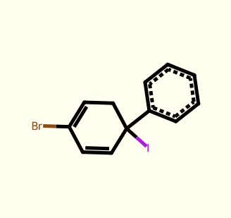 BrC1=CCC(I)(c2ccccc2)C=C1